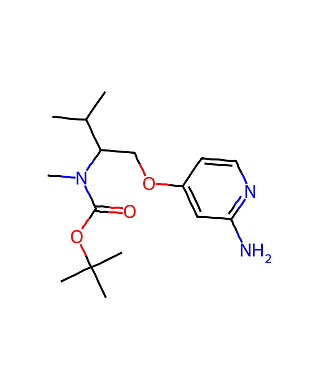 CC(C)C(COc1ccnc(N)c1)N(C)C(=O)OC(C)(C)C